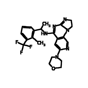 Cc1c(C(C)NC2=NC3=NCCN3c3cnc(N4CCOCC4)cc32)cccc1C(F)(F)F